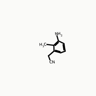 Cc1c(N)cccc1CC#N